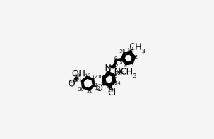 Cc1cccc(Cc2nc3cc(O[C@H]4CC[C@@H](C(=O)O)CC4)c(Cl)cc3n2C)c1